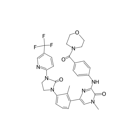 Cc1c(-c2cn(C)c(=O)c(Nc3ccc(C(=O)N4CCOCC4)cc3)n2)cccc1N1CCN(c2ccc(C(F)(F)F)cn2)C1=O